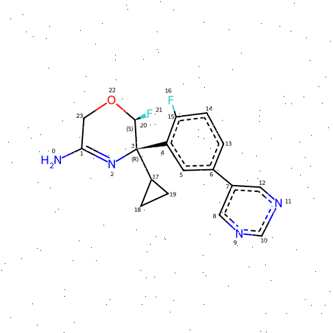 NC1=N[C@@](c2cc(-c3cncnc3)ccc2F)(C2CC2)[C@H](F)OC1